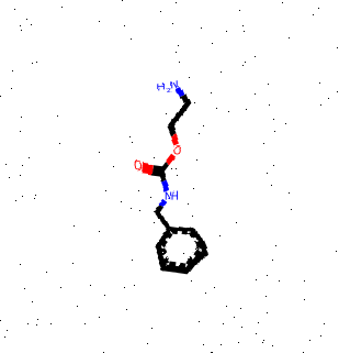 NCCOC(=O)NCc1ccccc1